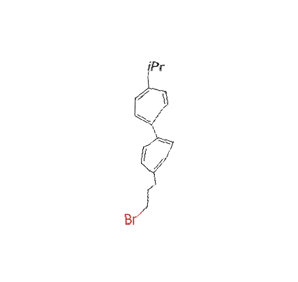 CC(C)c1ccc(-c2ccc(CCCBr)cc2)cc1